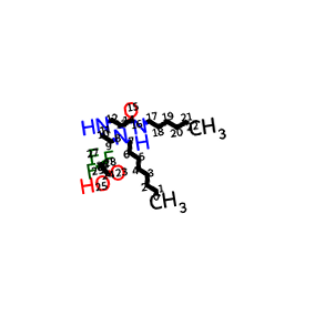 CCCCCCCCN1CCNCC1C(=O)NCCCCCC.O=C(O)C(F)(F)F